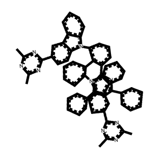 Cc1nc(C)nc(-c2ccc3c(c2)c2ccccc2n3-c2ccccc2-c2c(-c3nc(-c4ccccc4)cc(-c4ccccc4)n3)cccc2-n2c3ccccc3c3cc(-c4nc(C)nc(C)n4)ccc32)n1